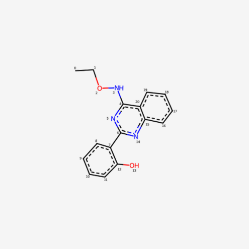 CCONc1nc(-c2ccccc2O)nc2ccccc12